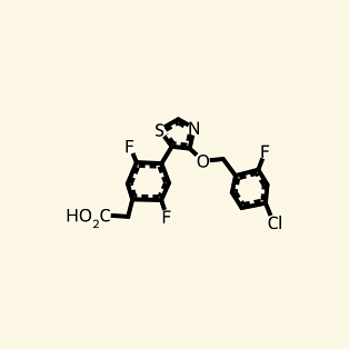 O=C(O)Cc1cc(F)c(-c2scnc2OCc2ccc(Cl)cc2F)cc1F